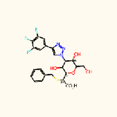 O=C(O)[C@@H](SCc1ccccc1)[C@@H]1OC(CO)[C@H](O)C(n2cc(-c3cc(F)c(F)c(F)c3)nn2)C1O